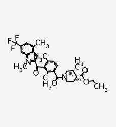 CCOC(=O)[C@@H]1CCN(C(=O)c2ccc(C)c(C(=O)c3cc4c(C)cc(C(F)(F)F)cc4n3C)c2C)C[C@@H]1C